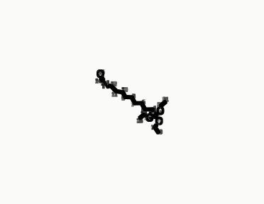 CCO[Si](CCCCCCCCCN=C=O)(OCC)OCC